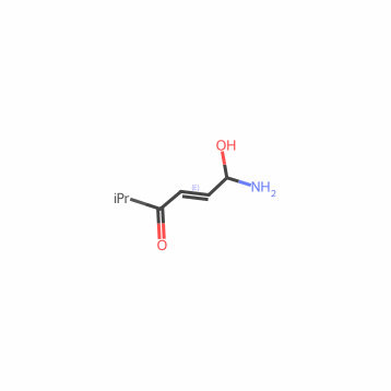 CC(C)C(=O)/C=C/C(N)O